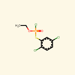 CCOP(=O)(Cl)Sc1cc(Cl)ccc1Cl